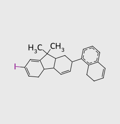 CC1(C)C2=CC(I)=CCC2C2C=CC(c3cccc4c3CCC=C4)CC21